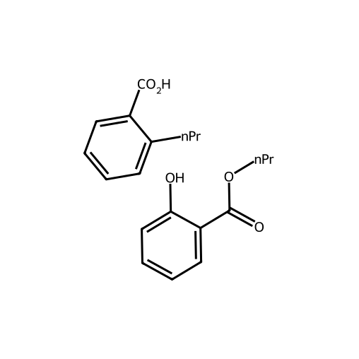 CCCOC(=O)c1ccccc1O.CCCc1ccccc1C(=O)O